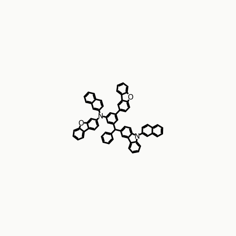 c1ccc(C(c2cc(-c3ccc4oc5ccccc5c4c3)cc(N(c3ccc4ccccc4c3)c3ccc4c(c3)oc3ccccc34)c2)c2ccc3c(c2)c2ccccc2n3-c2ccc3ccccc3c2)cc1